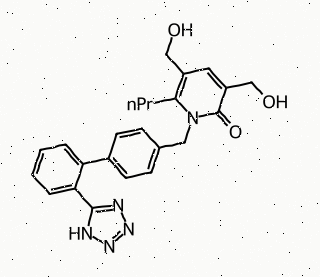 CCCc1c(CO)cc(CO)c(=O)n1Cc1ccc(-c2ccccc2-c2nnn[nH]2)cc1